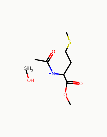 COC(=O)C(CCSC)NC(C)=O.O[SiH3]